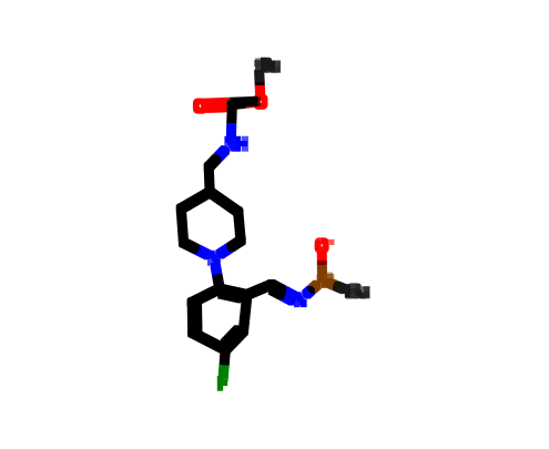 CC(C)(C)OC(=O)NCC1CCN(c2ccc(F)cc2/C=N/[S+]([O-])C(C)(C)C)CC1